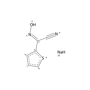 N#CC(=NO)c1cccs1.[NaH]